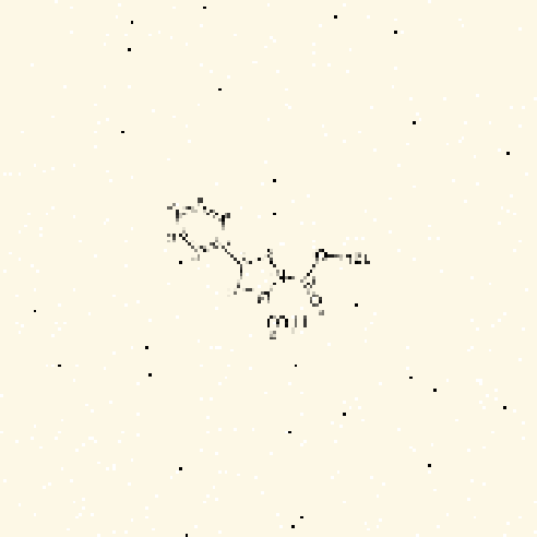 CCCCOC(=O)N1CC(c2ccccc2)CC1C(=O)O